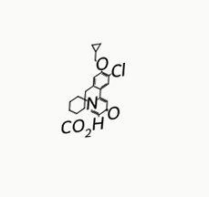 O=C(O)c1cn2c(cc1=O)-c1cc(Cl)c(OCC3CC3)cc1CC21CCCCC1